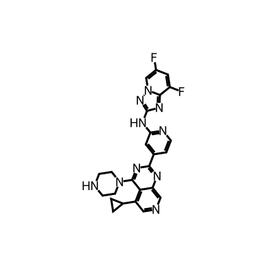 Fc1cc(F)c2nc(Nc3cc(-c4nc(N5CCNCC5)c5c(C6CC6)cncc5n4)ccn3)nn2c1